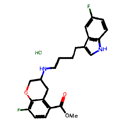 COC(=O)c1ccc(F)c2c1CC(NCCCCc1c[nH]c3ccc(F)cc13)CO2.Cl